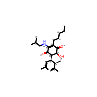 C=C(C)[C@H](C)[C@@H](C=C(C)C)C1C(=O)C(NCC(C)C)=C(CCCCC)C(=O)C1O